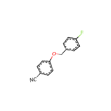 N#Cc1ccc(OCc2ccc(F)cc2)cc1